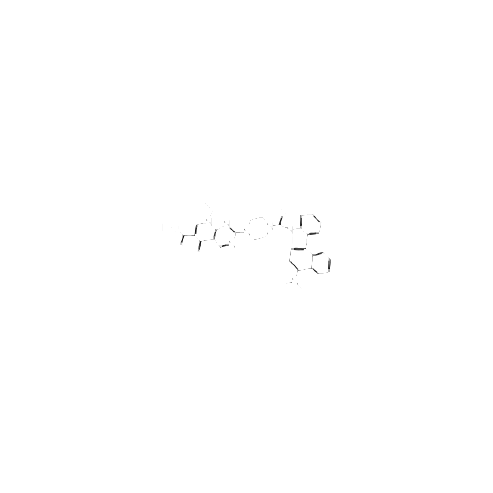 CCn1cc(C(=O)O)c(=O)c2cnc(N3CCN(C(=S)Nc4ccccc4-c4ccc(N(C)C)c5ccccc45)CC3)nc21